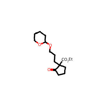 CCOC(=O)C1(CCCOC2CCCCO2)CCCC1=O